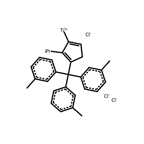 Cc1cccc(C(C2=C(C(C)C)[C]([Ti+3])=CC2)(c2cccc(C)c2)c2cccc(C)c2)c1.[Cl-].[Cl-].[Cl-]